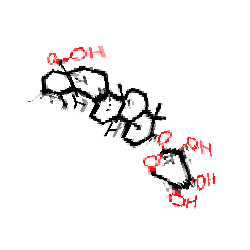 C[C@H]1[C@H](C)CC[C@]2(C(=O)O)CC[C@]3(C)C(=CC[C@@H]4[C@@]5(C)CC[C@H](O[C@@H]6OC[C@H](O)[C@H](O)[C@H]6O)C(C)(C)C5CC[C@]43C)[C@H]12